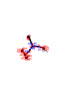 C[C@@H]1O[C@@H](OCCNC(=O)CCCNC(=O)CN(CC(=O)NCCCCCC(=O)CC2C(=O)CCC2=O)CC(=O)NCCCC(=O)NCCO[C@H]2O[C@H](CO[C@H]3O[C@H](CO)[C@@H](O)[C@H](O)[C@@H]3O)[C@@H](O)[C@H](O[C@H]3O[C@H](CO)[C@@H](O)[C@H](O)[C@@H]3O)[C@@H]2O)[C@@H](O)[C@H](O)[C@@H]1O